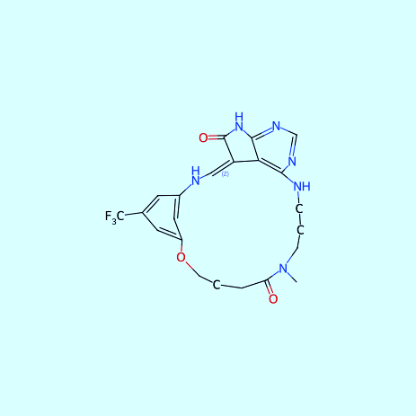 CN1CCCNc2ncnc3c2/C(=C/Nc2cc(cc(C(F)(F)F)c2)OCCCC1=O)C(=O)N3